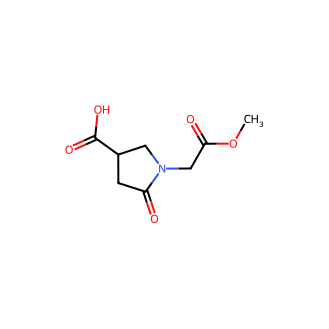 COC(=O)CN1CC(C(=O)O)CC1=O